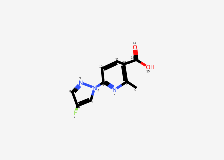 Cc1nc(-n2cc(F)cn2)ccc1C(=O)O